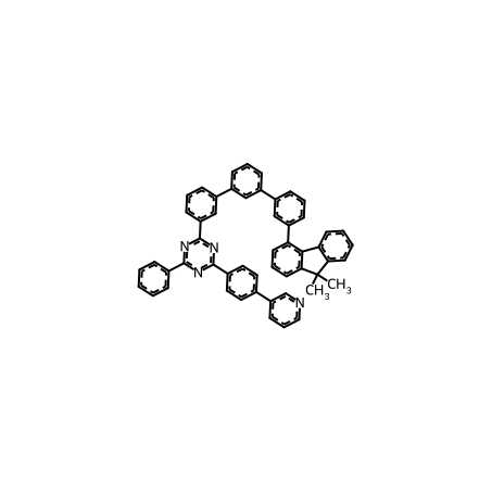 CC1(C)c2ccccc2-c2c(-c3cccc(-c4cccc(-c5cccc(-c6nc(-c7ccccc7)nc(-c7ccc(-c8cccnc8)cc7)n6)c5)c4)c3)cccc21